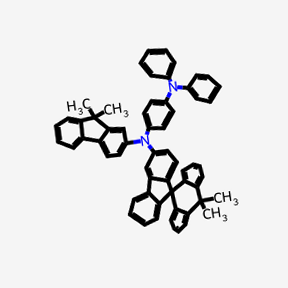 CC1(C)c2ccccc2-c2ccc(N(c3ccc(N(c4ccccc4)c4ccccc4)cc3)c3ccc4c(c3)-c3ccccc3C43c4ccccc4C(C)(C)c4ccccc43)cc21